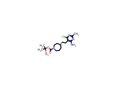 Cc1nc(N)c(CC[C@H]2CCCN(C(=O)OC(C)(C)C)CC2)c(Cl)n1